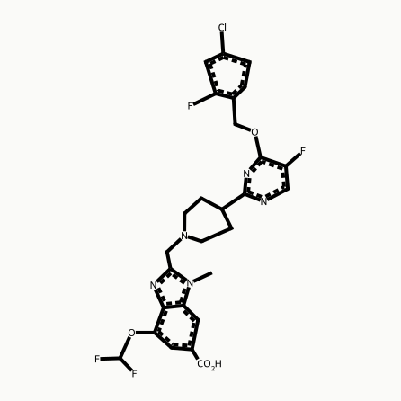 Cn1c(CN2CCC(c3ncc(F)c(OCc4ccc(Cl)cc4F)n3)CC2)nc2c(OC(F)F)cc(C(=O)O)cc21